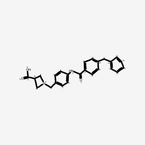 O=C(Nc1ccc(CN2CC(C(=O)O)C2)cc1)c1ccc(Cc2ccccc2)cc1